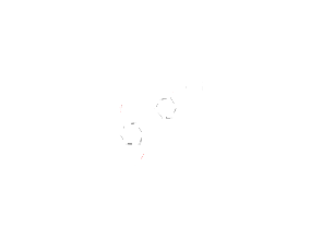 COc1ccc(Cc2cc(OC)ccc2C=O)cc1